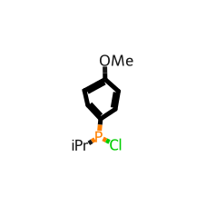 COc1ccc(P(Cl)C(C)C)cc1